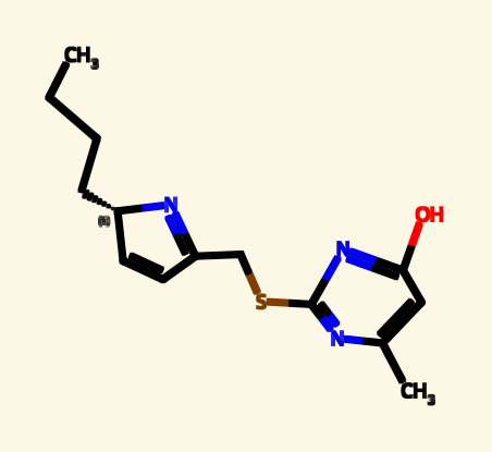 CCCC[C@H]1C=CC(CSc2nc(C)cc(O)n2)=N1